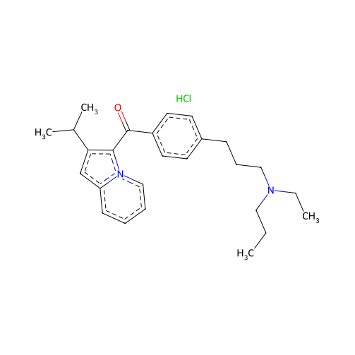 CCCN(CC)CCCc1ccc(C(=O)c2c(C(C)C)cc3ccccn23)cc1.Cl